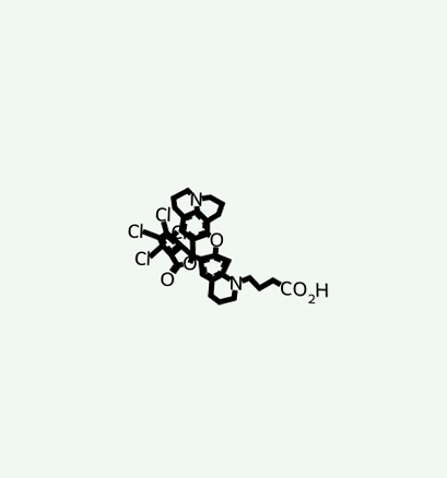 O=C(O)CCCN1CCCc2cc3c(cc21)Oc1c(cc2c4c1CCCN4CCC2)C31OC(=O)c2c(Cl)c(Cl)c(Cl)c(Cl)c21